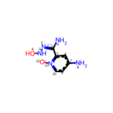 N/C(=N/NO)c1cc(N)cc[n+]1[O-]